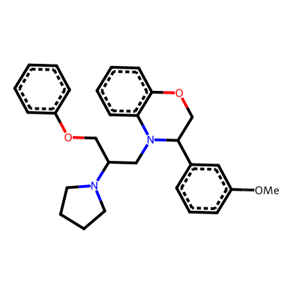 COc1cccc(C2COc3ccccc3N2CC(COc2ccccc2)N2CCCC2)c1